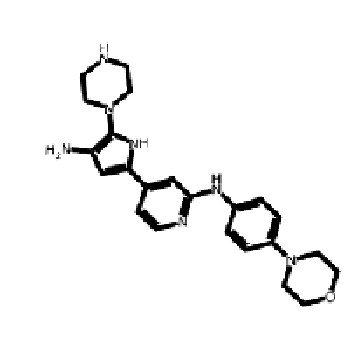 Nc1cc(-c2ccnc(Nc3ccc(N4CCOCC4)cc3)c2)[nH]c1N1CCNCC1